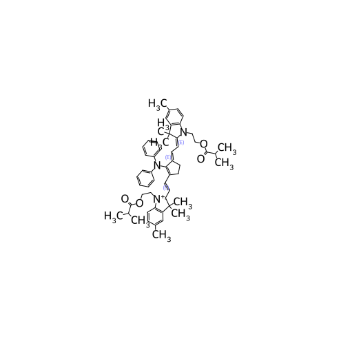 Cc1ccc2c(c1)C(C)(C)C(/C=C/C1=C(N(c3ccccc3)c3ccccc3)C(=C/C=C3/N(CCOC(=O)C(C)C)c4ccc(C)cc4C3(C)C)/CC1)=[N+]2CCOC(=O)C(C)C